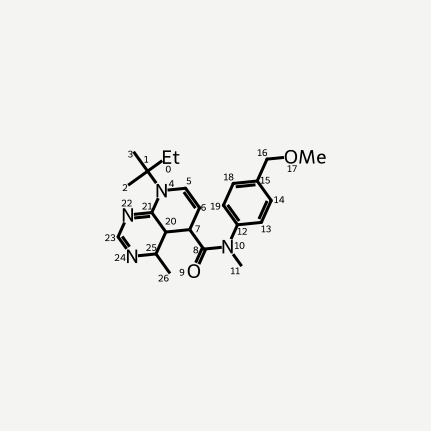 CCC(C)(C)N1C=CC(C(=O)N(C)c2ccc(COC)cc2)C2C1=NC=NC2C